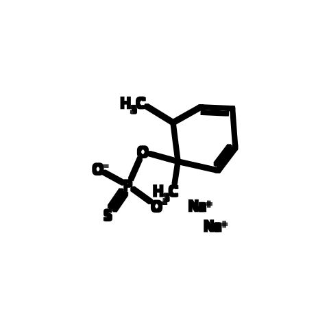 CC1C=CC=CC1(C)OP([O-])([O-])=S.[Na+].[Na+]